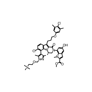 COC(=O)c1cc2cc(O)cc(N3C[C@@H](C)n4c(c(CCCOc5cc(C)c(Cl)c(C)c5)c5ccc(Cl)c(-c6c(C)nn(COCC[Si](C)(C)C)c6C)c54)C3=O)c2n1C